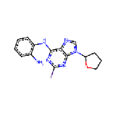 Nc1ccccc1Nc1nc(I)nc2c1ncn2C1CCCO1